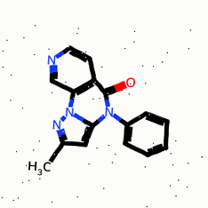 Cc1cc2n(-c3ccccc3)c(=O)c3ccncc3n2n1